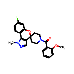 COc1ccccc1C(=O)N1CCC2(CC1)Oc1cc(F)ccc1-c1c2cnn1C